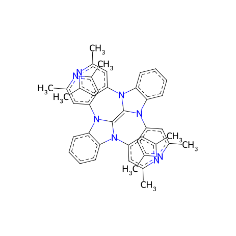 Cc1cc(N2C(=C3N(c4cc(C)nc(C)c4)c4ccccc4N3c3cc(C)nc(C)c3)N(c3cc(C)nc(C)c3)c3ccccc32)cc(C)n1